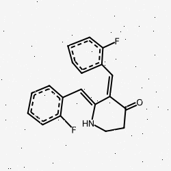 O=C1CCNC(=C\c2ccccc2F)/C1=C\c1ccccc1F